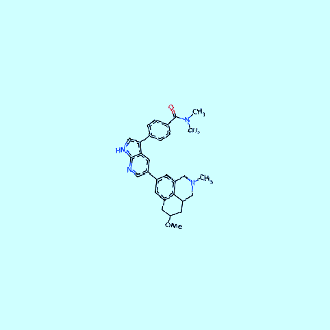 COC1Cc2cc(-c3cnc4[nH]cc(-c5ccc(C(=O)N(C)C)cc5)c4c3)cc3c2C(C1)CN(C)C3